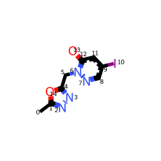 Cc1nnc(Cn2ncc(I)cc2=O)o1